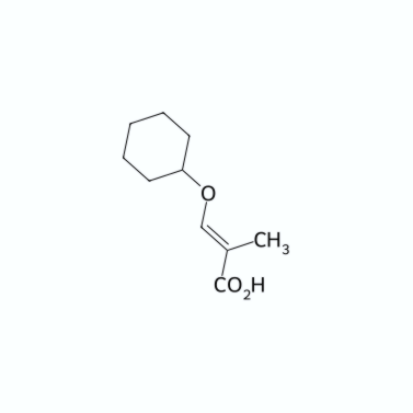 CC(=COC1CCCCC1)C(=O)O